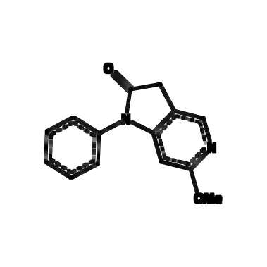 COc1cc2c(cn1)CC(=O)N2c1ccccc1